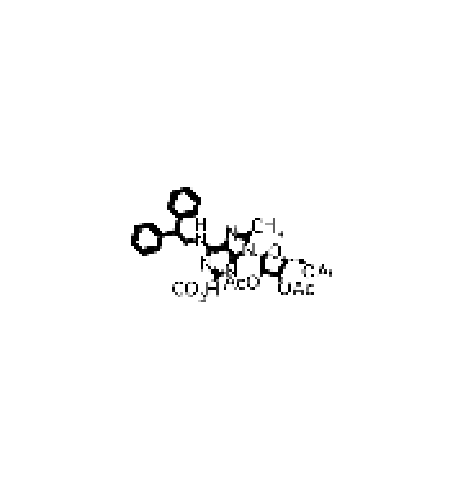 CC(=O)OC[C@H]1O[C@@H](n2c(C)nc3c(NCC(c4ccccc4)c4ccccc4)nc(C(=O)O)nc32)[C@H](OC(C)=O)[C@@H]1OC(C)=O